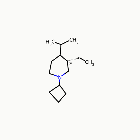 CC[C@@H]1CN(C2CCC2)CCC1C(C)C